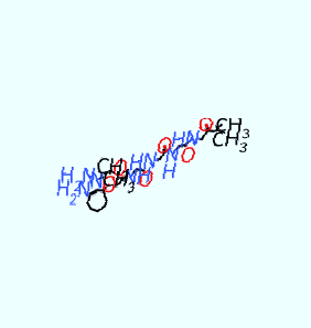 CC(C)C(=O)CNC(=O)CNC(=O)CNC(=O)CNC(=O)COC1CCCCC/C(N)=C\1N(N)C(C)C